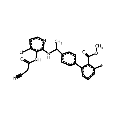 COC(=O)c1c(F)cccc1-c1ccc(C(C)Nc2nccc(Cl)c2NC(=O)CC#N)cc1